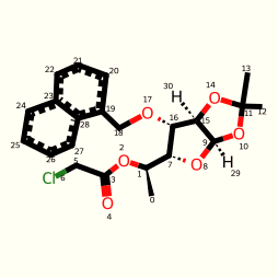 C[C@@H](OC(=O)CCl)[C@H]1O[C@@H]2OC(C)(C)O[C@@H]2[C@H]1OCc1cccc2ccccc12